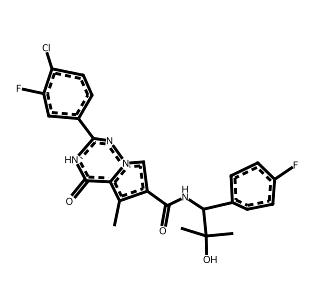 Cc1c(C(=O)NC(c2ccc(F)cc2)C(C)(C)O)cn2nc(-c3ccc(Cl)c(F)c3)[nH]c(=O)c12